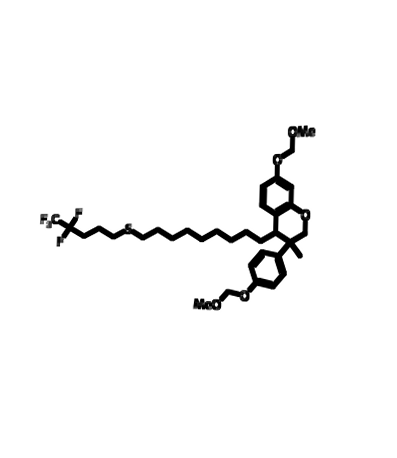 COCOc1ccc(C2(C)COc3cc(OCOC)ccc3C2CCCCCCCCCSCCCC(F)(F)C(F)(F)F)cc1